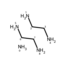 N.NCCN.NCCN